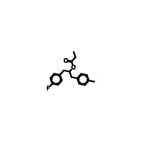 CCC(=O)OC(Cc1ccc(C)cc1)Cc1ccc(F)cc1